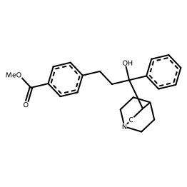 COC(=O)c1ccc(CCC(O)(c2ccccc2)C2CN3CCC2CC3)cc1